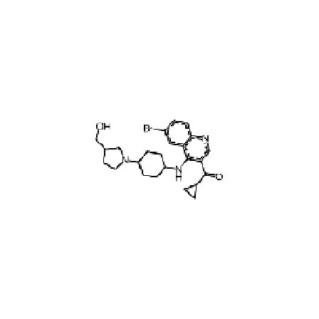 O=C(c1cnc2ccc(Br)cc2c1NC1CCC(N2CCC(CO)C2)CC1)C1CC1